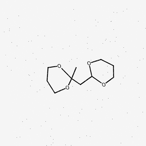 CC1(CC2OCCCO2)OCCCO1